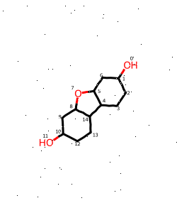 OC1CCC2C(C1)OC1CC(O)CCC12